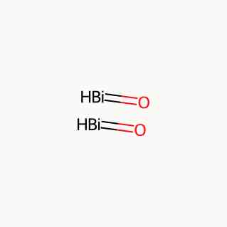 [O]=[BiH].[O]=[BiH]